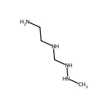 CNNCNCCN